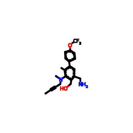 CC#CCN(C)c1c(C)c(-c2ccc(OC(F)(F)F)cc2)cc(CN)c1CO